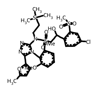 COc1cccc(OC)c1-n1c(-c2ccc(C)o2)nnc1N(CC[Si](C)(C)C)S(=O)(=O)CC(O)c1ccc(Cl)cc1S(C)(=O)=O